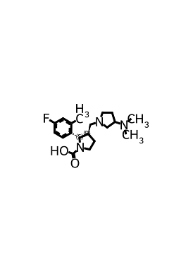 Cc1cc(F)ccc1[C@@H]1[C@@H](CN2CCC(N(C)C)C2)CCN1C(=O)O